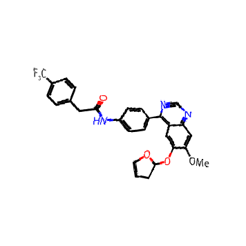 COc1cc2ncnc(-c3ccc(NC(=O)Cc4ccc(C(F)(F)F)cc4)cc3)c2cc1OC1CCCO1